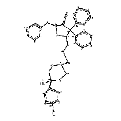 O=C1N(Cc2ccccc2)CC(CCCN2CCC(O)(c3ccc(F)cc3)CC2)C1(c1ccccc1)c1ccccc1